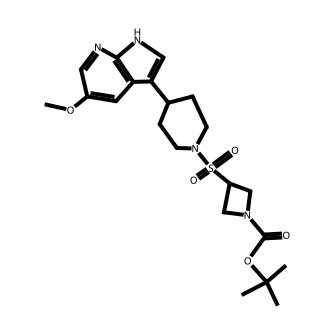 COc1cnc2[nH]cc(C3CCN(S(=O)(=O)C4CN(C(=O)OC(C)(C)C)C4)CC3)c2c1